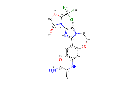 C[C@H](Nc1ccc2c(c1)OCCn1cc(N3C(=O)CO[C@H]3C(F)(F)Cl)nc1-2)C(N)=O